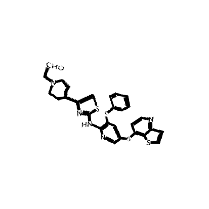 O=CCN1CCC(c2csc(Nc3ncc(Sc4ccnc5ccsc45)cc3Sc3ccccc3)n2)CC1